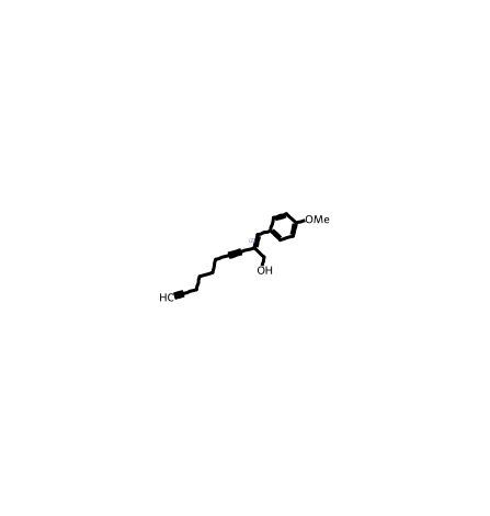 C#CCCCCC#C/C(=C/c1ccc(OC)cc1)CO